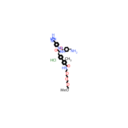 COCCOCCOCCOCCNC(=O)c1ccc(-c2ccc(C[C@H](NC(=O)[C@H]3CC[C@H](CN)CC3)C(=O)Nc3ccc(-c4nn[nH]n4)cc3)cc2)c(C)c1.Cl